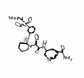 CNS(=O)(=O)c1cccc([C@@H]2CCCCN2C(=O)C(=O)Nc2cncc(C(N)=O)c2)c1